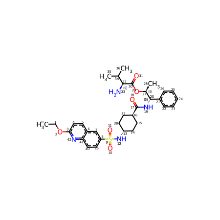 CCOc1ccc2cc(S(=O)(=O)N[C@H]3CC[C@H](C(=O)N[C@@H](c4ccccc4)[C@H](C)OC(=O)[C@@H](N)C(C)C)CC3)ccc2n1